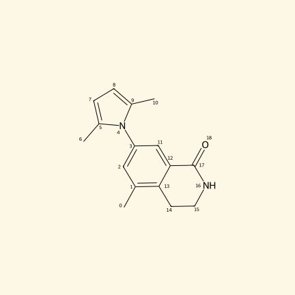 Cc1cc(-n2c(C)ccc2C)cc2c1CCNC2=O